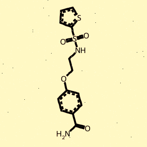 NC(=O)c1ccc(OCCNS(=O)(=O)c2cccs2)cc1